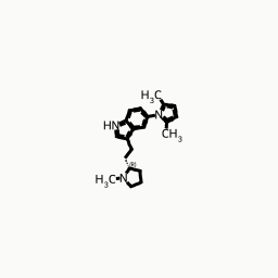 Cc1ccc(C)n1-c1ccc2[nH]cc(CC[C@@H]3CCCN3C)c2c1